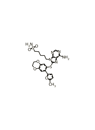 Cc1ccc(-c2cc3c(cc2Sc2nc4c(N)ncnc4n2CCCCCS(N)(=O)=O)OCCO3)o1